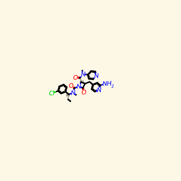 CC[C@H](c1cccc(Cl)c1)N(C)C(=O)N1C(=O)C(Cc2ccnc(N)c2)[C@H]1C(=O)N(C)c1ccncc1